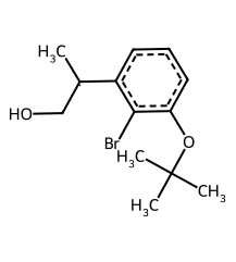 C[C](CO)c1cccc(OC(C)(C)C)c1Br